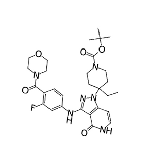 CCC1(n2nc(Nc3ccc(C(=O)N4CCOCC4)c(F)c3)c3c(=O)[nH]ccc32)CCN(C(=O)OC(C)(C)C)CC1